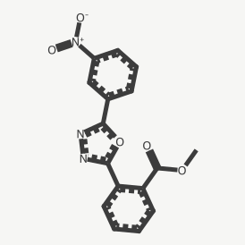 COC(=O)c1ccccc1-c1nnc(-c2cccc([N+](=O)[O-])c2)o1